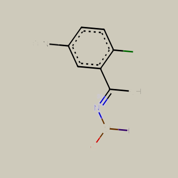 C/C(=N\[S+]([O-])I)c1cc([N+](=O)[O-])ccc1F